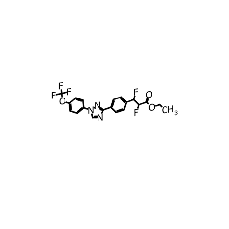 CCOC(=O)C(F)C(F)c1ccc(-c2ncn(-c3ccc(OC(F)(F)F)cc3)n2)cc1